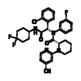 N#Cc1ccnc(N2CCCC[C@H]2C(=O)N(c2cccc(F)c2)[C@H](C(=O)NC2CCC(F)(F)CC2)c2ccccc2Cl)c1